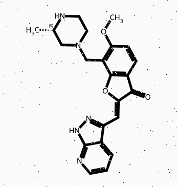 COc1ccc2c(c1CN1CCN[C@@H](C)C1)OC(=Cc1n[nH]c3ncccc13)C2=O